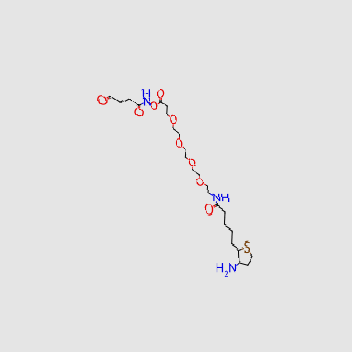 NC1CCSC1CCCCC(=O)NCCOCCOCCOCCOCCC(=O)ONC(=O)CCC=O